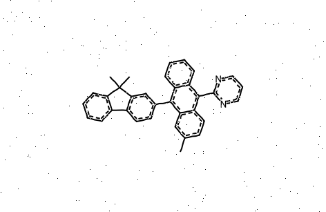 Cc1ccc2c(-c3ncccn3)c3ccccc3c(-c3ccc4c(c3)C(C)(C)c3ccccc3-4)c2c1